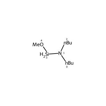 CCCCN(CCCC)[SiH2]OC